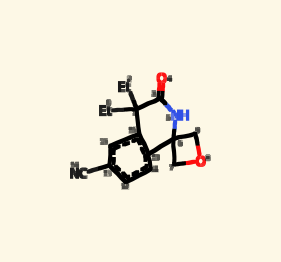 CCC1(CC)C(=O)NC2(COC2)c2ccc(C#N)cc21